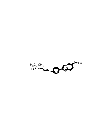 CCCCSc1ccc2nc(-c3ccc(OCCCO[Si](C)(C)C(C)(C)C)cc3)cn2c1